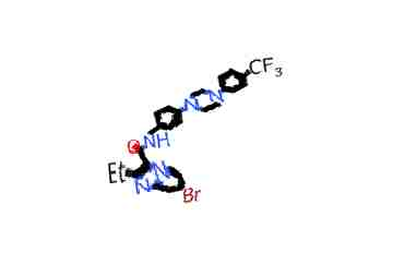 CCc1nc2cc(Br)ccn2c1C(=O)NCc1ccc(N2CCN(c3ccc(C(F)(F)F)cc3)CC2)cc1